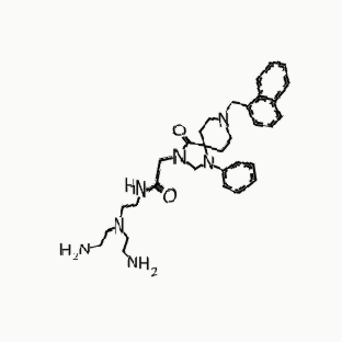 NCCN(CCN)CCNC(=O)CN1CN(c2ccccc2)C2(CCN(Cc3cccc4ccccc34)CC2)C1=O